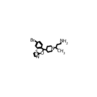 CC(CCN)N1CCC(C(Oc2nccs2)c2ccc(Br)cc2)CC1